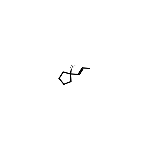 C/C=C/C1(C(C)=O)CCCC1